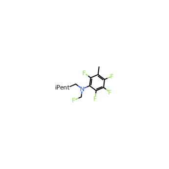 CCCC(C)CN(CF)c1c(F)c(C)c(F)c(F)c1F